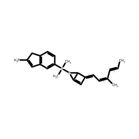 C/C=C/C(C)=C\C=C1/C=C2C1P2S(C)(C)c1ccc2c(c1)C=C(P)C2